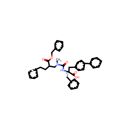 CN(CC(CCc1ccccc1)C(=O)OCc1ccccc1)C(=O)N[C@@](Cc1ccccc1)(Cc1ccc(-c2ccccc2)cc1)C(=O)O